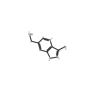 OCc1cnc2c(c1)[N]N=C2Br